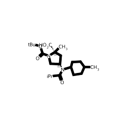 CC1CCC(N(C(=O)C(C)C)[C@@H]2CN(C(=O)OC(C)(C)C)[C@](C)(C(=O)O)C2)CC1